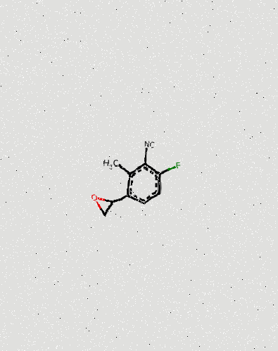 [C-]#[N+]c1c(F)ccc(C2CO2)c1C